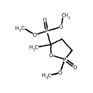 COP1(=O)CCC(C)(P(=O)(OC)OC)O1